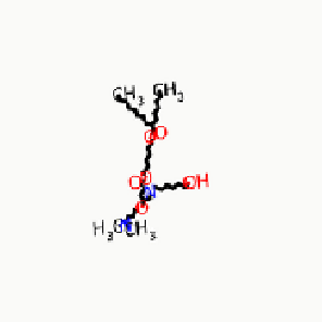 CCCCCCCCC(CCCCCC)C(=O)OCCCCCCOC(=O)[C@@H]1CC(OCCCN(C)C)CN1CCCCCCO